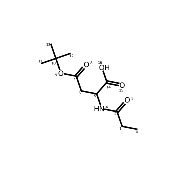 CCC(=O)NC(CC(=O)OC(C)(C)C)C(=O)O